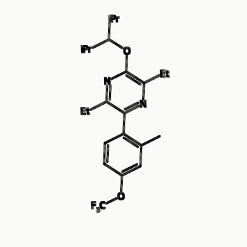 CCc1nc(-c2ccc(OC(F)(F)F)cc2C)c(CC)nc1OC(C(C)C)C(C)C